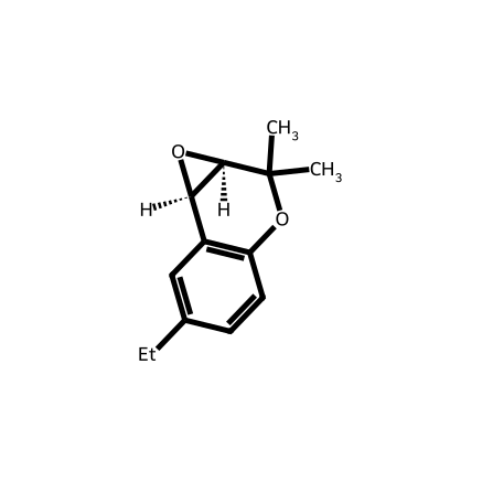 CCc1ccc2c(c1)[C@H]1O[C@H]1C(C)(C)O2